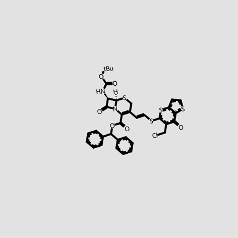 CC(C)(C)OC(=O)N[C@@H]1C(=O)N2C(C(=O)OC(c3ccccc3)c3ccccc3)=C(/C=C/Sc3sc4ccsc4c(=O)c3CCl)CS[C@H]12